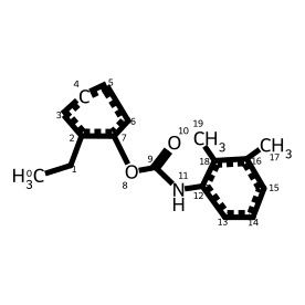 CCc1ccccc1OC(=O)Nc1cccc(C)c1C